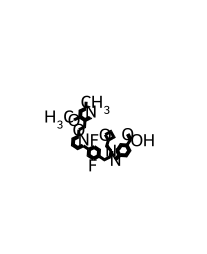 COc1cc(C)ncc1COc1cccc(-c2cc(F)c(Cc3nc4ccc(C(=O)O)cc4n3CC3CCO3)cc2F)n1